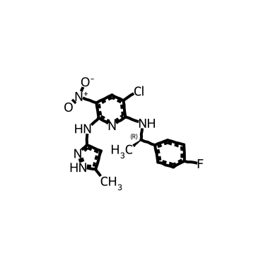 Cc1cc(Nc2nc(N[C@H](C)c3ccc(F)cc3)c(Cl)cc2[N+](=O)[O-])n[nH]1